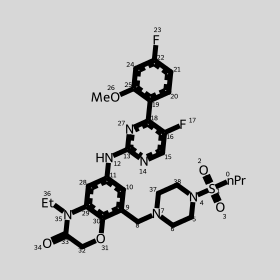 CCCS(=O)(=O)N1CCN(Cc2cc(Nc3ncc(F)c(-c4ccc(F)cc4OC)n3)cc3c2OCC(=O)N3CC)CC1